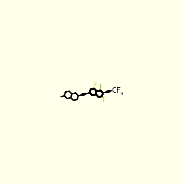 CC1CCC2CC(C#Cc3cc(F)c4c(F)c(C#CC(F)(F)F)c(F)cc4c3)CCC2C1